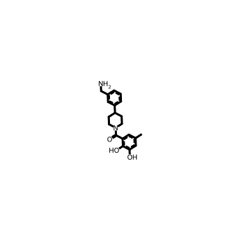 Cc1cc(O)c(O)c(C(=O)N2CCC(c3cccc(CN)c3)CC2)c1